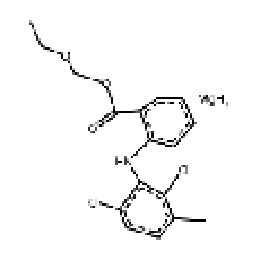 CCOCOC(=O)c1ccccc1Nc1c(Cl)ccc(C)c1Cl.[MgH2]